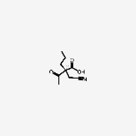 CCC[C@@](CC#N)(C(C)=O)C(=O)O